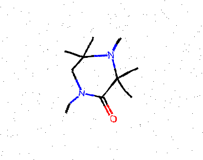 CN1CC(C)(C)N(C)C(C)(C)C1=O